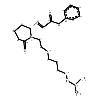 CN(C)OSCCCSCCN1C(=O)CCC[C@@H]1/C=C/C(=O)Cc1ccccc1